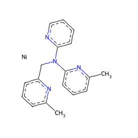 Cc1cccc(CN(c2ccccn2)c2cccc(C)n2)n1.[Ni]